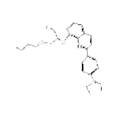 CCCCOCC(CF)Oc1cccc2ccc(-c3ccc(N(CC)CC)cc3)nc12